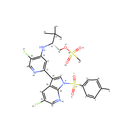 Cc1ccc(S(=O)(=O)n2cc(-c3cc(N[C@@H](COS(C)(=O)=O)C(C)(C)C)c(F)cn3)c3cc(F)cnc32)cc1